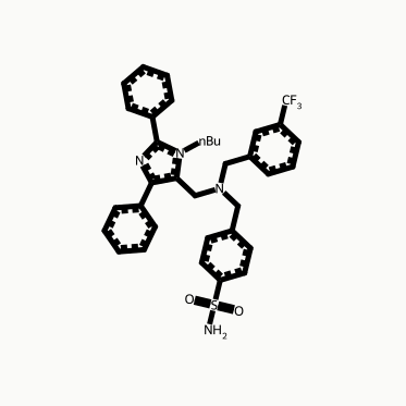 CCCCn1c(-c2ccccc2)nc(-c2ccccc2)c1CN(Cc1ccc(S(N)(=O)=O)cc1)Cc1cccc(C(F)(F)F)c1